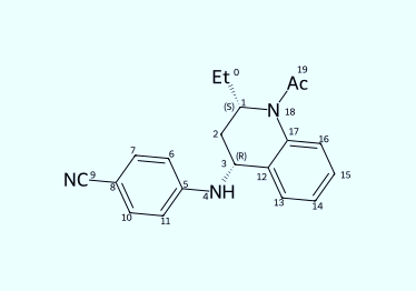 CC[C@H]1C[C@@H](Nc2ccc(C#N)cc2)c2ccccc2N1C(C)=O